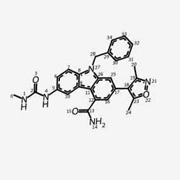 CNC(=O)Nc1ccc2c(c1)c1c(C(N)=O)cc(-c3c(C)noc3C)cc1n2Cc1ccccc1